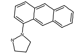 c1ccc2cc3c(N4CCC[N]4)cccc3cc2c1